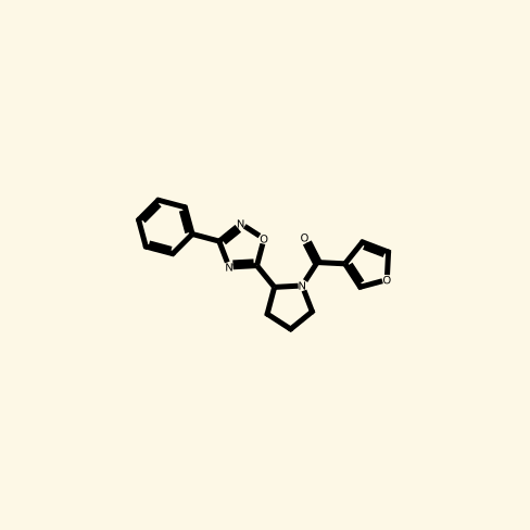 O=C(c1ccoc1)N1CCCC1c1nc(-c2ccccc2)no1